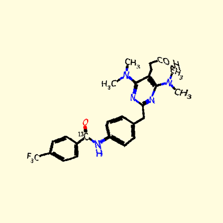 CN(C)c1nc(Cc2ccc(N[13C](=O)c3ccc(C(F)(F)F)cc3)cc2)nc(N(C)C)c1C[13C](=O)O